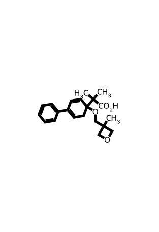 CC1(COC2(C(C)(C)C(=O)O)C=CC(c3ccccc3)=CC2)COC1